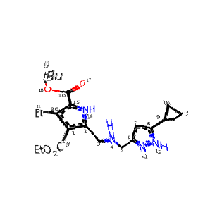 CCOC(=O)c1c(CNCc2cc(C3CC3)[nH]n2)[nH]c(C(=O)OC(C)(C)C)c1CC